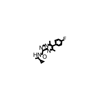 Cc1nc2c(C(=O)NC(C)C3CC3)ncn2c(C)c1-c1ccc(F)cc1